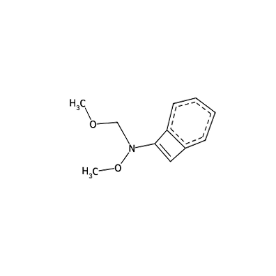 COCN(OC)C1=Cc2ccccc21